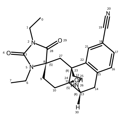 CCN1C(=O)N(CC)[C@]2(CC[C@@]3(O)[C@H]4Cc5ccc(C#N)cc5[C@@]3(CCN4)C2)C1=O